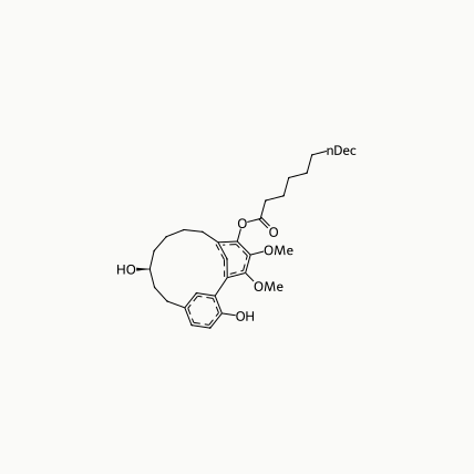 CCCCCCCCCCCCCCCC(=O)Oc1c2cc(c(OC)c1OC)-c1cc(ccc1O)CC[C@@H](O)CCCC2